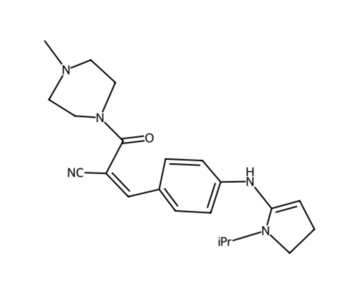 CC(C)N1CCC=C1Nc1ccc(C=C(C#N)C(=O)N2CCN(C)CC2)cc1